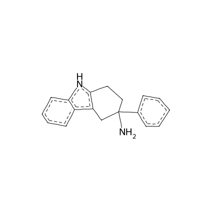 NC1(c2ccccc2)CCc2[nH]c3ccccc3c2C1